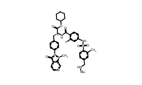 Cc1cc(CNC(C)(C)C)ccc1S(=O)(=O)Nc1ccc(C(=O)N[C@@H](Cc2ccc(-n3c(=O)c4ccncc4n3C)cc2)C(=O)OC2CCCCC2)c(F)c1